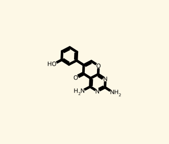 Nc1nc(N)c2c(=O)c(-c3cccc(O)c3)coc2n1